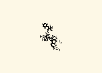 Cc1noc(-c2ccccc2)c1CSC[C@H]1O[C@@H](n2cc(-c3ccc([N+](=O)[O-])nc3)c3c(N)ncnc32)[C@H](O)[C@@H]1O